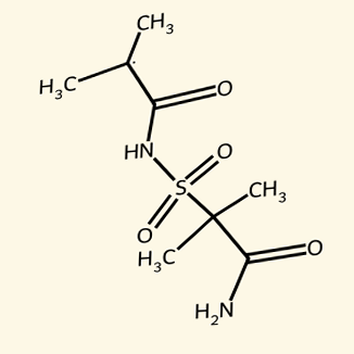 C[C](C)C(=O)NS(=O)(=O)C(C)(C)C(N)=O